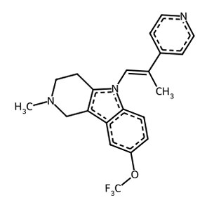 CC(=Cn1c2c(c3cc(OC(F)(F)F)ccc31)CN(C)CC2)c1ccncc1